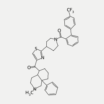 CN1CCC2C(C(=O)c3csc(C4CCN(C(=O)c5ccccc5-c5ccc(C(F)(F)F)cc5)CC4)n3)CCCC2(c2ccccc2)C1